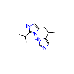 CC(C)c1nc(CC(C)c2cnc[nH]2)c[nH]1